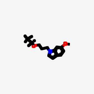 COc1ccc2ccn(CCCO[Si](C)(C)C(C)(C)C)c2c1